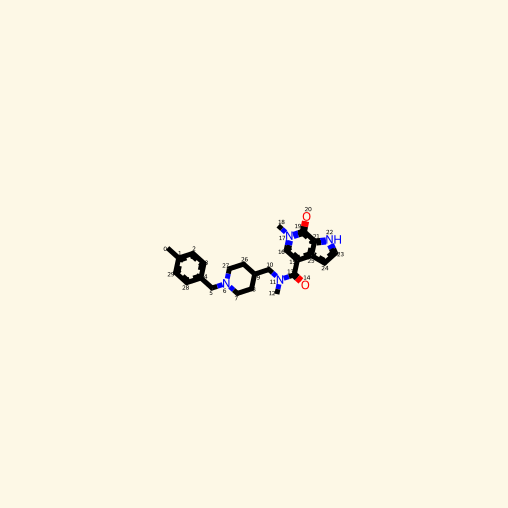 Cc1ccc(CN2CCC(CN(C)C(=O)c3cn(C)c(=O)c4[nH]ccc34)CC2)cc1